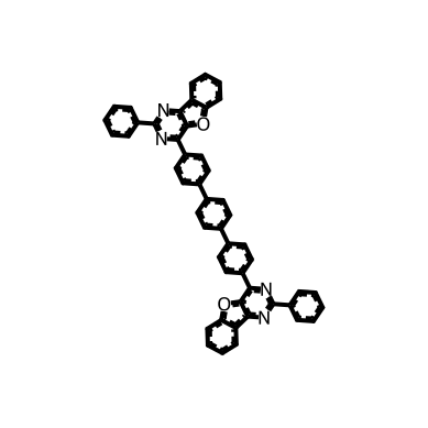 c1ccc(-c2nc(-c3ccc(-c4ccc(-c5ccc(-c6nc(-c7ccccc7)nc7c6oc6ccccc67)cc5)cc4)cc3)c3oc4ccccc4c3n2)cc1